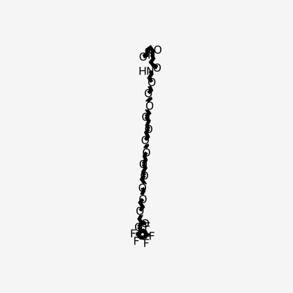 O=C(CCN1C(=O)C=CC1=O)NCCOCCOCCOCCOCCOCCOCCOCCOCCOCCOCCOCCOCCC(=O)Oc1c(F)c(F)c(F)c(F)c1F